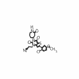 COc1ccc(Cl)c(-c2cc3c(s2)c(=O)n([C@@H]2CCCNC(=O)C2)c(=O)n3CCC#N)c1